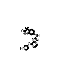 CC1(C)C(=O)Nc2cc(Nc3nc4c(OC5CCNC5)nccn4n3)ccc21